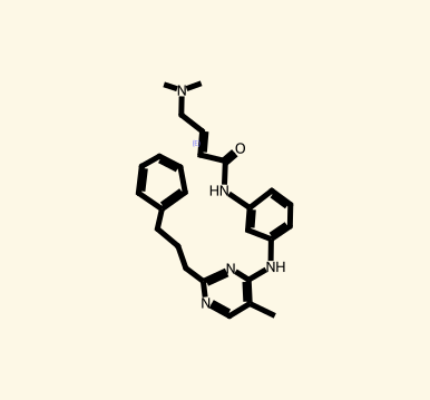 Cc1cnc(CCCc2ccccc2)nc1Nc1cccc(NC(=O)/C=C/CN(C)C)c1